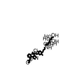 Cc1cc(COC2(c3cnccc3-c3ccccc3OC3COC3)CC2)c(Cl)cc1CCCCNC(=O)NC[C@H](O)[C@@H](O)[C@H](O)[C@H](O)CO